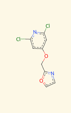 Clc1cc(OCc2ncco2)cc(Cl)n1